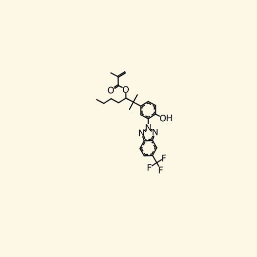 C=C(C)C(=O)OC(CCCC)C(C)(C)c1ccc(O)c(-n2nc3ccc(C(F)(F)F)cc3n2)c1